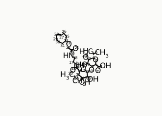 CC(C)[C@@H]1OC(C(=O)O)[C@@H](O[C@@H]2OC(C(=O)NCCNC(=O)CO[C@H]3CC/C=C/CCC3)[C@@H](C(C)C)[C@@H](O)C2O)[C@@H](O)C1O